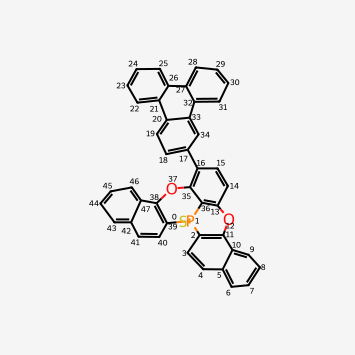 S=P12c3ccc4ccccc4c3Oc3ccc(-c4ccc5c6ccccc6c6ccccc6c5c4)c(c31)Oc1c2ccc2ccccc12